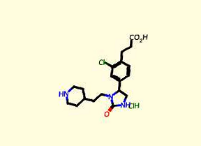 Cl.O=C(O)CCc1ccc(C2CNC(=O)N2CCC2CCNCC2)cc1Cl